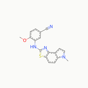 COc1ccc(C#N)cc1Nc1nc2c(ccc3c2ccn3C)s1